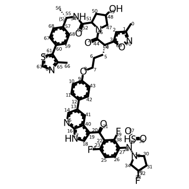 Cc1cc([C@H](CCCOc2ccc(-c3cnc4[nH]cc(C(=O)c5c(F)ccc(N(N6CC[C@@H](F)C6)[SH](=O)=O)c5F)c4c3)cc2)C(=O)N2CC(O)CC2C(=O)N[C@@H](C)c2ccc(-c3scnc3C)cc2)on1